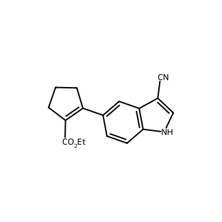 CCOC(=O)C1=C(c2ccc3[nH]cc(C#N)c3c2)CCC1